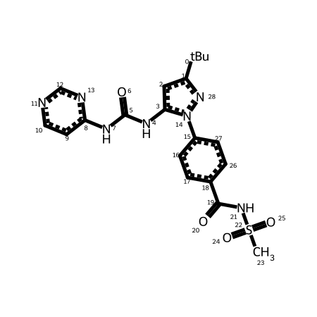 CC(C)(C)c1cc(NC(=O)Nc2ccncn2)n(-c2ccc(C(=O)NS(C)(=O)=O)cc2)n1